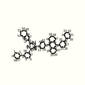 c1ccc(-c2cccc(-c3nc(-c4ccc(-c5c6ccccc6c(-c6cccc(-c7ccccc7)c6)c6ccccc56)cc4)nc(-c4cc5ccccc5s4)n3)c2)cc1